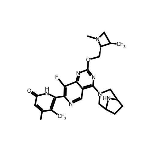 Cc1cc(=O)[nH]c(-c2ncc3c(N4CC5CCC(C4)N5)nc(OC[C@@H]4[C@H](C(F)(F)F)CN4C)nc3c2F)c1C(F)(F)F